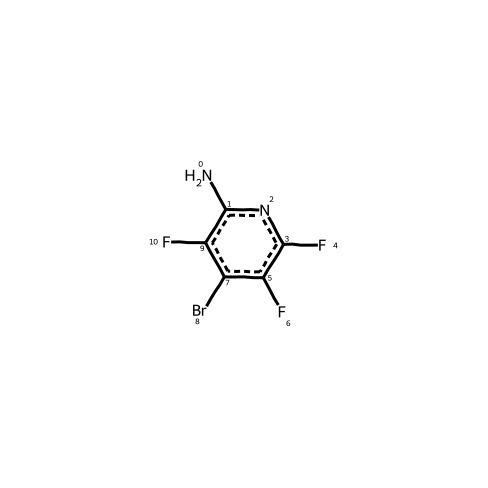 Nc1nc(F)c(F)c(Br)c1F